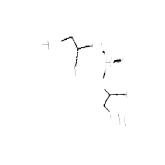 CCC(I)OB([O])OC(I)CC